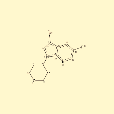 CC(C)c1cn(C2CCOCC2)c2ncc(F)cc12